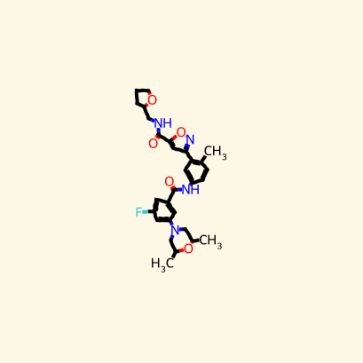 Cc1ccc(NC(=O)c2cc(F)cc(N3CC(C)OC(C)C3)c2)cc1-c1cc(C(=O)NCC2CCCO2)on1